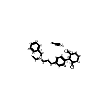 CC#N.CCN(CCCc1ccc(C2C(Cl)CCCC2Cl)cc1)Cc1ccccc1